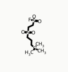 C[Si](C)(C)CCCS(=O)(=O)CCS(=O)(=O)F